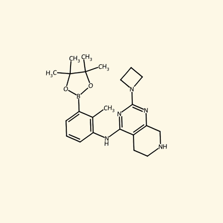 Cc1c(Nc2nc(N3CCC3)nc3c2CCNC3)cccc1B1OC(C)(C)C(C)(C)O1